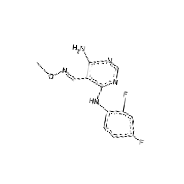 CON=Cc1c(N)ncnc1Nc1ccc(F)cc1F